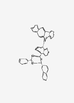 c1ccc(-c2nc(-c3ccc4ccccc4c3)nc(-c3ccc(-n4c5ccccc5c5cc6ccccc6cc54)c4ccccc34)n2)cc1